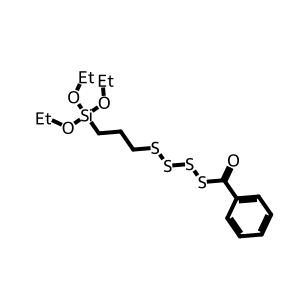 CCO[Si](CCCSSSSC(=O)c1ccccc1)(OCC)OCC